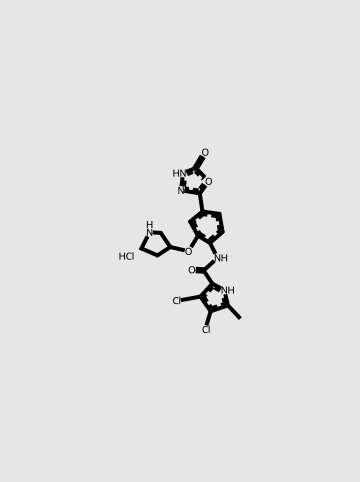 Cc1[nH]c(C(=O)Nc2ccc(-c3n[nH]c(=O)o3)cc2OC2CCNC2)c(Cl)c1Cl.Cl